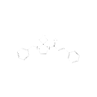 O=C(/C=C/c1ccccc1)N1CCN(Cc2ccccc2)C12COC2